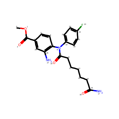 COC(=O)c1ccc(N(C(=O)CCCCCC(N)=O)c2ccc(F)cc2)c(N)c1